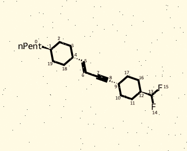 CCCCC[C@H]1CC[C@H](C=CC#C[C@H]2CC[C@H](C(F)F)CC2)CC1